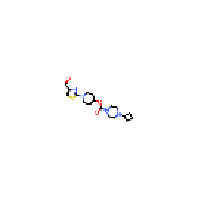 O=Cc1csc(N2CCC(OC(=O)N3CCN(C4CCC4)CC3)CC2)n1